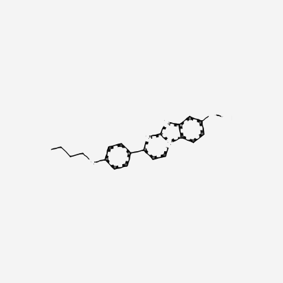 COc1ccc2c(c1)nc1nc(-c3ccc(NCCCF)cc3)ccn12